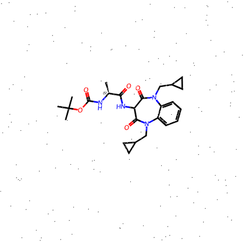 C[C@H](NC(=O)OC(C)(C)C)C(=O)NC1C(=O)N(CC2CC2)c2ccccc2N(CC2CC2)C1=O